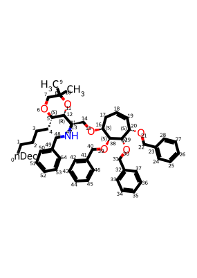 CCCCCCCCCCCCCC[C@@H]1OCC(C)(C)O[C@@H]1[C@@H](CO[C@H]1CC=C[C@H](OCc2ccccc2)[C@H](OCc2ccccc2)[C@H]1OCc1ccccc1)NCc1ccccc1